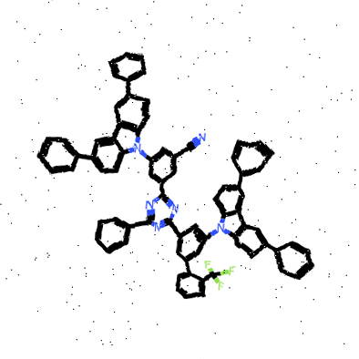 N#Cc1cc(-c2nc(-c3ccccc3)nc(-c3cc(-c4ccccc4C(F)(F)F)cc(-n4c5ccc(-c6ccccc6)cc5c5cc(-c6ccccc6)ccc54)c3)n2)cc(-n2c3ccc(-c4ccccc4)cc3c3cc(-c4ccccc4)ccc32)c1